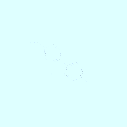 CCCCCCc1ccc(-c2ncc(C(=O)O)cn2)cc1.Cl